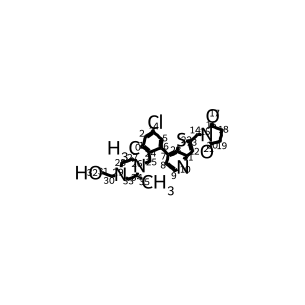 Cc1cc(Cl)cc(-c2ccnc3cc(CN4C(=O)CCC4=O)sc23)c1CN1CCN(CCO)C[C@@H]1C